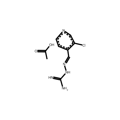 CC(=O)O.N=C(N)NN=Cc1ccncc1Cl